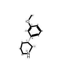 COc1cccc([C@H]2CCCNC2)c1